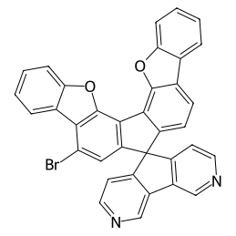 Brc1cc2c(c3oc4ccccc4c13)-c1c(ccc3c1oc1ccccc13)C21c2ccncc2-c2cnccc21